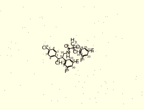 CC(c1ccc(Cl)cc1)C(CNC(=O)C(C)(C)Oc1cc(F)cc(F)c1)c1cc(F)cc(F)c1